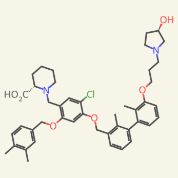 Cc1ccc(COc2cc(OCc3cccc(-c4cccc(OCCCN5CC[C@@H](O)C5)c4C)c3C)c(Cl)cc2CN2CCCC[C@H]2C(=O)O)cc1C